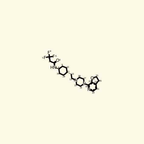 O=C(CC(F)(F)F)N[C@H]1CC[C@H](CCN2CCN(c3nccc4c3OCC4)CC2)CC1